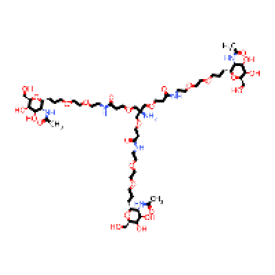 CC(=O)N[C@@H]1[C@@H](O)[C@@H](O)[C@@H](CO)O[C@@H]1CCCOCCOCCNC(=O)CCOCC(N)(COCCC(=O)NCCOCCOCCC[C@H]1O[C@H](CO)[C@H](O)[C@H](O)[C@H]1NC(C)=O)COCCC(=O)NCCOCCOCCC[C@H]1O[C@H](CO)[C@H](O)[C@H](O)[C@H]1NC(C)=O